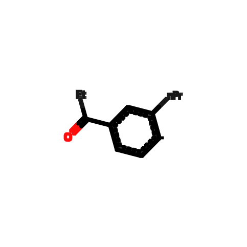 CCCc1[c]ccc(C(=O)CC)c1